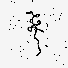 C=CC(=O)OS(=O)(=O)C(C)SCCCC